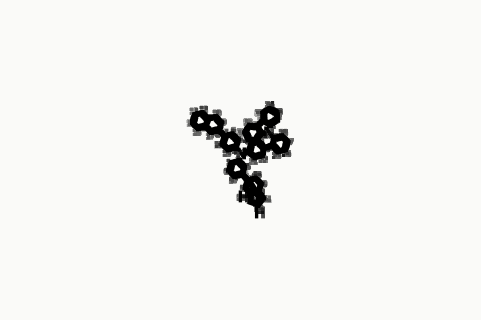 c1cc(N(c2ccc(-c3ccc4ccccc4c3)cc2)c2ccc(-c3ccccc3-n3c4ccccc4c4ccccc43)cc2)cc(C23CCC4C[C@H](C[C@@H]4C2)C3)c1